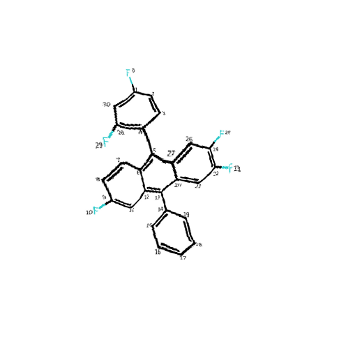 Fc1ccc(-c2c3ccc(F)cc3c(-c3ccccc3)c3cc(F)c(F)cc23)c(F)c1